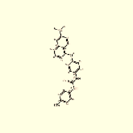 CN(C)c1ccc2c(Oc3ccc(NC(=O)Nc4ccc(Cl)cc4)cc3)ncnc2c1